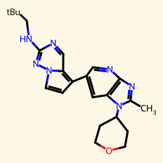 Cc1nc2ncc(-c3ccn4nc(NCC(C)(C)C)ncc34)cc2n1C1CCOCC1